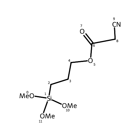 CO[Si](CCCOC(=O)CC#N)(OC)OC